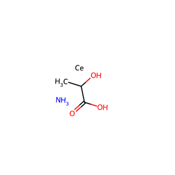 CC(O)C(=O)O.N.[Ce]